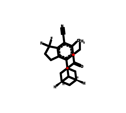 CCOC(=O)CC1[C@@H]2C[C@H]1CN(c1nc(Cl)c(C#N)c3c1CCC3(F)F)C2